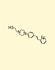 C[n+]1ccccc1/C=C/c1ccc(N2CCN(CCS)CC2)cc1